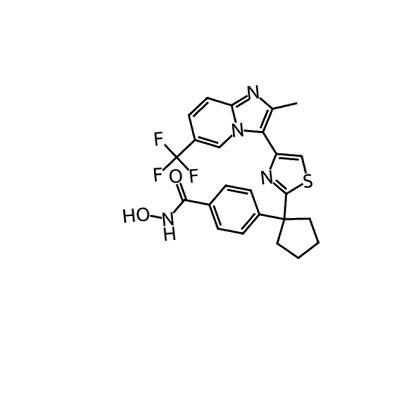 Cc1nc2ccc(C(F)(F)F)cn2c1-c1csc(C2(c3ccc(C(=O)NO)cc3)CCCC2)n1